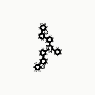 c1ccc(-c2cc(-c3cccc(-c4cccc5c4oc4ccccc45)c3)nc(-c3cccc(-c4ccc5oc6ccccc6c5c4)c3)n2)cc1